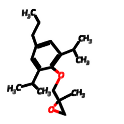 CCCc1cc(C(C)C)c(OCC2(C)CO2)c(C(C)C)c1